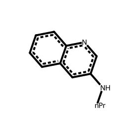 CCCNc1cnc2ccccc2c1